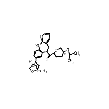 CC(C)O[C@H]1CCC(C(=O)N2Cc3cccnc3Nc3ccc(N4C[C@]5(C)C[C@H]4CO5)cc32)OC1